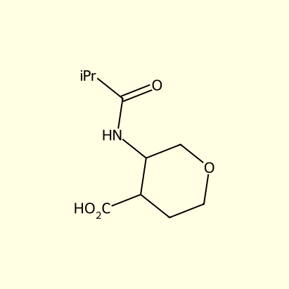 CC(C)C(=O)NC1COCCC1C(=O)O